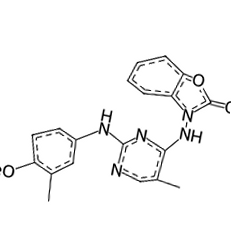 COc1ccc(Nc2ncc(C)c(Nn3c(=O)oc4ccccc43)n2)cc1C